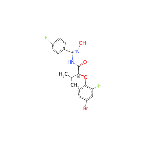 CC(C)[C@H](Oc1ccc(Br)cc1F)C(=O)NC(=NO)c1ccc(F)cc1